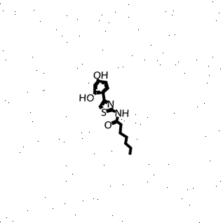 CCCCCCC(=O)Nc1nc(-c2ccc(O)cc2O)cs1